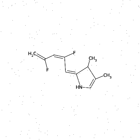 C=C(F)/C=C(F)\C=C1\NC=C(C)C1C